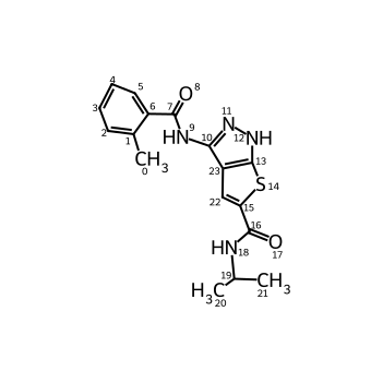 Cc1ccccc1C(=O)Nc1n[nH]c2sc(C(=O)NC(C)C)cc12